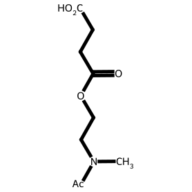 CC(=O)N(C)CCOC(=O)CCC(=O)O